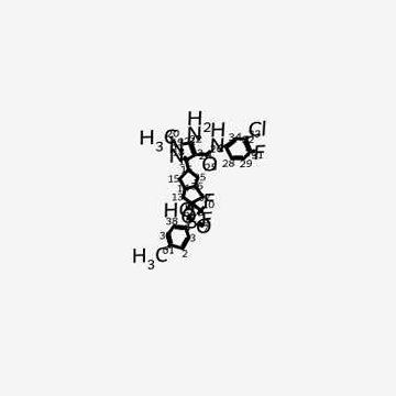 Cc1ccc(S(=O)(=O)C(F)(F)C2(O)CC3CC(c4nn(C)c(N)c4C(=O)Nc4ccc(F)c(Cl)c4)CC3C2)cc1